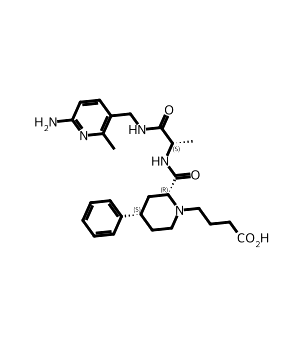 Cc1nc(N)ccc1CNC(=O)[C@H](C)NC(=O)[C@H]1C[C@@H](c2ccccc2)CCN1CCCC(=O)O